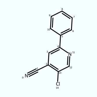 N#Cc1cc(-c2ccccc2)ncc1Cl